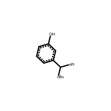 CCCCC(CCC)c1[c]ccc(O)c1